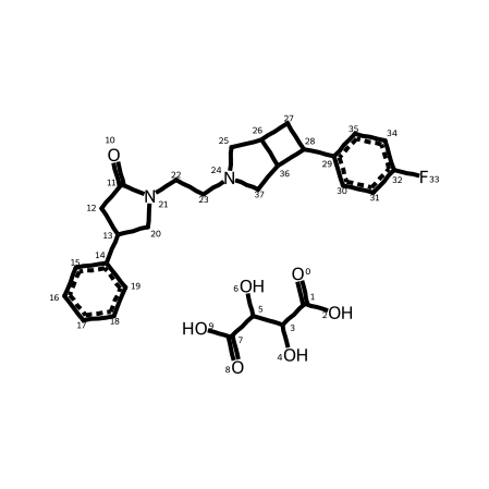 O=C(O)C(O)C(O)C(=O)O.O=C1CC(c2ccccc2)CN1CCN1CC2CC(c3ccc(F)cc3)C2C1